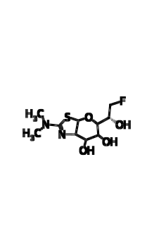 CN(C)C1=NC2C(OC([C@@H](O)CF)C(O)C2O)S1